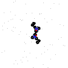 Cc1ccccc1N(c1ccc(-c2cccc3ccccc23)cc1)c1c(C)cc(-c2cc(C)c(N(c3ccc(-c4cccc5ccccc45)cc3)c3ccccc3C)c(C)c2)cc1C